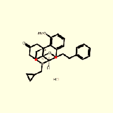 COc1cccc2c1[C@]13CCN(CC4CC4)[C@H](C2)[C@]1(OCCCc1ccccc1)CCC(=O)C3.Cl